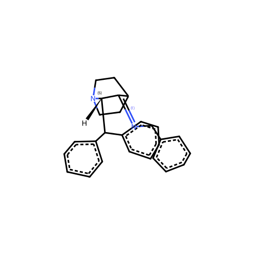 c1ccc(C/N=C2\C3CCN(CC3)[C@H]2C(c2ccccc2)c2ccccc2)cc1